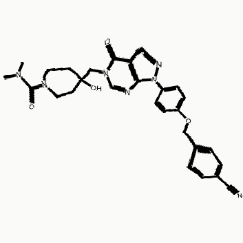 CN(C)C(=O)N1CCC(O)(Cn2cnc3c(cnn3-c3ccc(OCc4ccc(C#N)cc4)cc3)c2=O)CC1